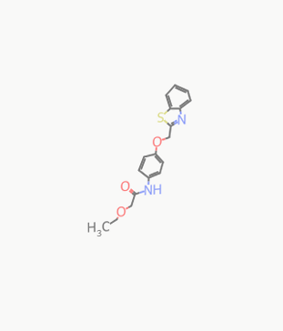 CCOCC(=O)Nc1ccc(OCc2nc3ccccc3s2)cc1